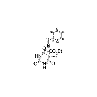 CCOC(=O)C1(F)C(=O)NC(=O)NC1O/N=C/c1ccccc1